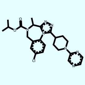 CC(C)OC(=O)N1Cc2cc(Cl)ccc2-n2c(C3CCN(c4cnccn4)CC3)nnc2C1C